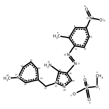 COS(=O)(=O)[O-].Cc1cc([N+](=O)[O-])ccc1/N=N/c1cnn(Cc2ccc[n+](C)c2)c1N